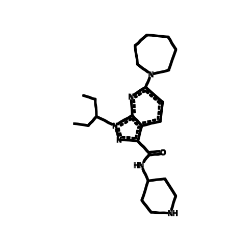 CCC(CC)n1nc(C(=O)NC2CCNCC2)c2ccc(N3CCCCCC3)nc21